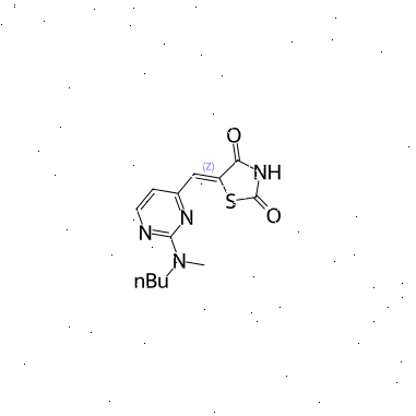 CCCCN(C)c1nccc(/C=C2\SC(=O)NC2=O)n1